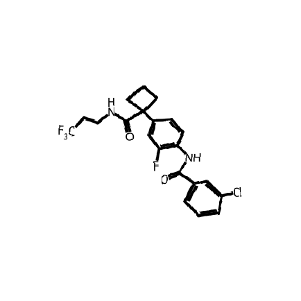 O=C(Nc1ccc(C2(C(=O)NCCC(F)(F)F)CCC2)cc1F)c1cccc(Cl)c1